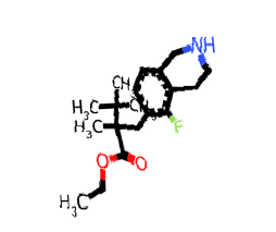 CCOC(=O)C(C)(Cc1ccc2c(c1F)CCNC2)C(C)(C)C